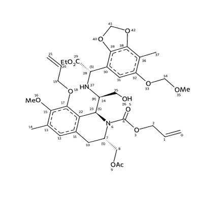 C=CCOC(=O)N1[C@H](COC(C)=O)Cc2cc(C)c(OC)c(OCC=C)c2[C@H]1[C@H](CO)N[C@H](C(=O)OCC)c1cc(OCOC)c(C)c2c1OCO2